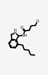 CCCCCc1cccc2c1C(NC(=O)CCCCl)NC2